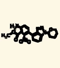 COC(=O)c1c(N)ccc(-c2cccc3c2cnn3C2CCCCO2)c1[N+](=O)[O-]